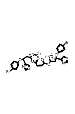 CNC(CC(Oc1ccc(Br)cc1)c1cscn1)OC(=O)/C=C\C(=O)OC(CC(Oc1ccc(Br)cc1)c1cscn1)NC